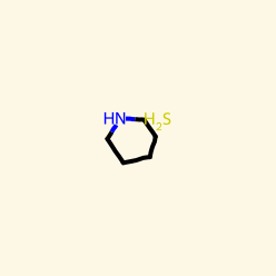 C1CCNCC1.S